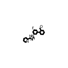 O=Cc1ccccc1-c1cc(F)cc(-n2nnc(-c3ccccn3)n2)c1